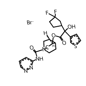 O=C(O[C@H]1C[N+]2(C(=O)Nc3cccnn3)CCC1CC2)C(O)(c1ccsc1)C1CCC(F)(F)C1.[Br-]